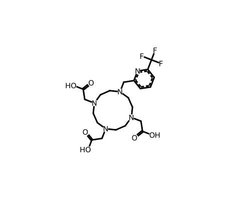 O=C(O)CN1CCN(CC(=O)O)CCN(Cc2cccc(C(F)(F)F)n2)CCN(CC(=O)O)CC1